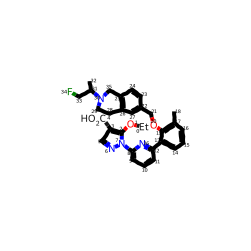 CCOc1c(C(=O)O)cnn1-c1cccc(-c2cccc(C)c2OCc2ccc3c(c2)CCN(C(C)CF)C3)n1